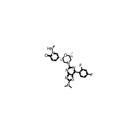 CNn1cc([C@H]2CN(c3nc(-c4ccc(F)cc4F)c4sc(N(C)C)nc4n3)C[C@@H](C)O2)ccc1=O